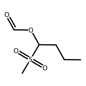 CCCC(O[C]=O)S(C)(=O)=O